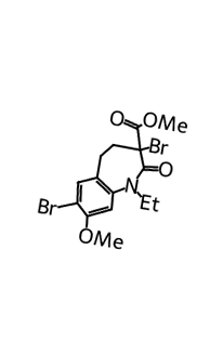 CCN1C(=O)C(Br)(C(=O)OC)CCc2cc(Br)c(OC)cc21